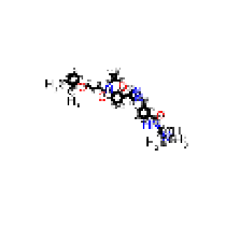 Cc1cccc(OCCCC(=O)N2CC3(CC3)COc3c(-c4cnn(Cc5cccc(C(=O)NCC[N+](C)(C)C)c5)c4)cccc32)c1C